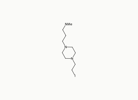 CNCCCN1CCN(CCI)CC1